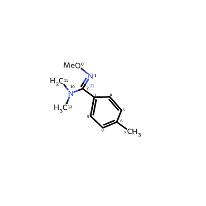 CO/N=C(/c1ccc(C)cc1)N(C)C